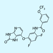 O=C(Nc1cc(Oc2ccnc3[nH]c(=O)[nH]c23)c(F)cc1F)c1cccc(OC(F)(F)F)c1